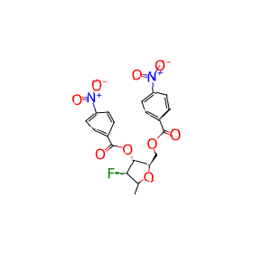 CC1O[C@H](COC(=O)c2ccc([N+](=O)[O-])cc2)[C@@H](OC(=O)c2ccc([N+](=O)[O-])cc2)[C@@H]1F